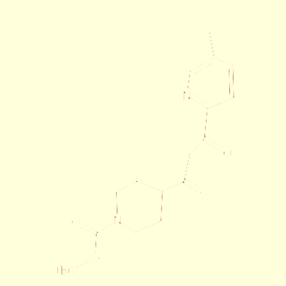 Cc1ccc(C(=O)CC(=O)C2CCN(C(=O)OC(C)(C)C)CC2)nc1